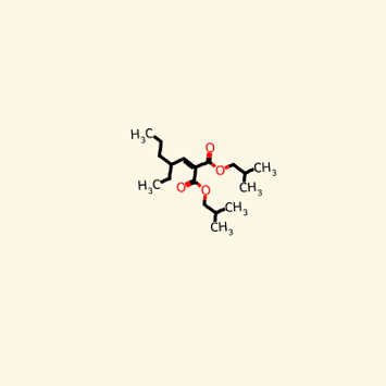 CCCC(C=C(C(=O)OCC(C)C)C(=O)OCC(C)C)CC